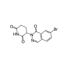 O=C1CCC(n2ncc3ccc(Br)cc3c2=O)C(=O)N1